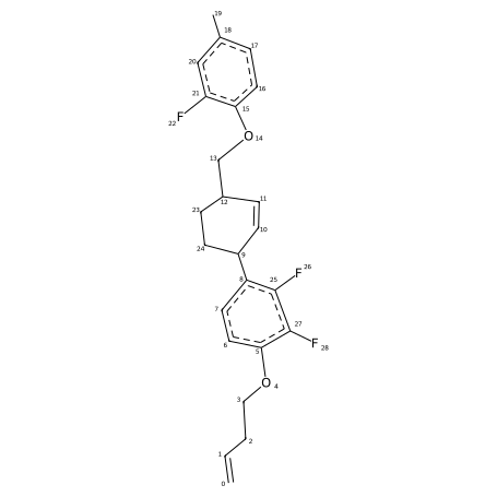 C=CCCOc1ccc(C2C=CC(COc3ccc(C)cc3F)CC2)c(F)c1F